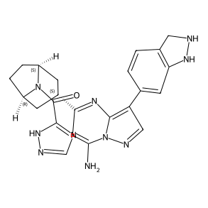 Nc1cc([C@@H]2C[C@H]3CC[C@@H](C2)N3C(=O)c2ncn[nH]2)nc2c(-c3ccc4c(c3)NNC4)cnn12